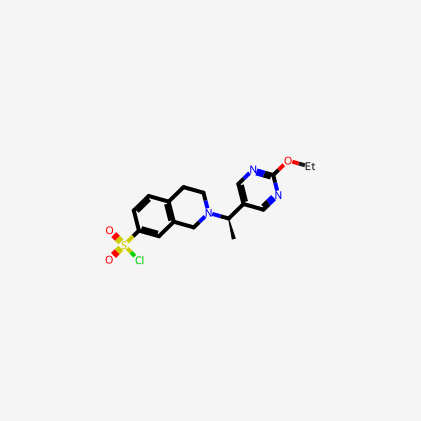 CCOc1ncc([C@@H](C)N2CCc3ccc(S(=O)(=O)Cl)cc3C2)cn1